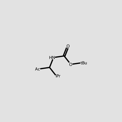 CC(=O)C(NC(=O)OC(C)(C)C)C(C)C